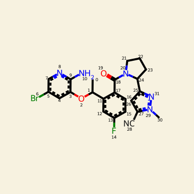 CC(Oc1cc(Br)cnc1N)c1cc(F)ccc1C(=O)N1CCCC1c1cc(C#N)n(C)n1